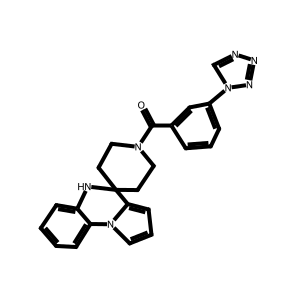 O=C(c1cccc(-n2cnnn2)c1)N1CCC2(CC1)Nc1ccccc1-n1cccc12